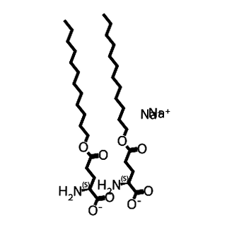 CCCCCCCCCCCCOC(=O)CC[C@H](N)C(=O)[O-].CCCCCCCCCCCCOC(=O)CC[C@H](N)C(=O)[O-].[Na+].[Na+]